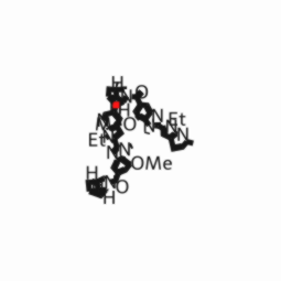 CCn1c(-c2nc3cc(C(=O)N4C[C@H]5CC6C[C@@H]4[C@H]65)cc(OC)c3n2C)cc2cc(C3C4C[C@@H]5CN(C(=O)c6cc(OC)c7c(c6)nc(-c6cc8ccc(C)nc8n6CC)n7C)[C@H]3[C@H]45)cnc21